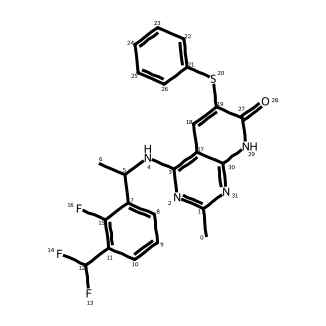 Cc1nc(NC(C)c2cccc(C(F)F)c2F)c2cc(Sc3ccccc3)c(=O)[nH]c2n1